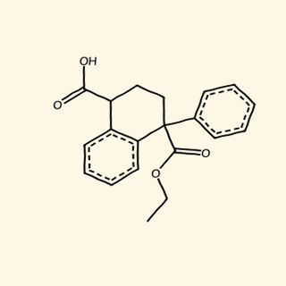 CCOC(=O)C1(c2ccccc2)CCC(C(=O)O)c2ccccc21